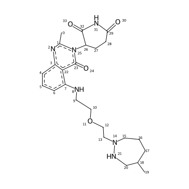 Cc1nc2cccc(NCCOCCN3CCCC(C)CN3)c2c(=O)n1C1CCC(=O)NC1=O